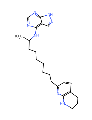 O=C(O)C(CCCCCCCc1ccc2c(n1)NCCC2)Nc1ncnc2[nH]ncc12